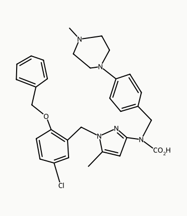 Cc1cc(N(Cc2ccc(N3CCN(C)CC3)cc2)C(=O)O)nn1Cc1cc(Cl)ccc1OCc1ccccc1